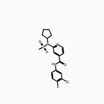 CS(=O)(=O)N(c1cc(C(=O)Nc2ccc(F)c(Cl)c2)ccn1)C1CCCC1